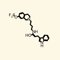 O/C(=C/Cc1c[nH]c2ccccc12)NCCCCN1CCc2ccc(OC(F)(F)F)cc2C1